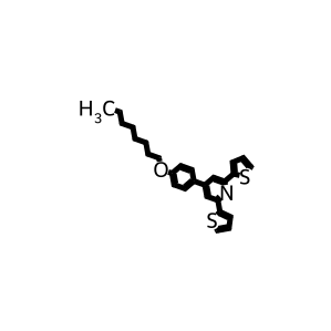 CCCCCCCCOc1ccc(-c2cc(-c3cccs3)nc(-c3cccs3)c2)cc1